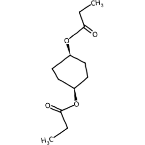 CCC(=O)O[C@H]1CC[C@@H](OC(=O)CC)CC1